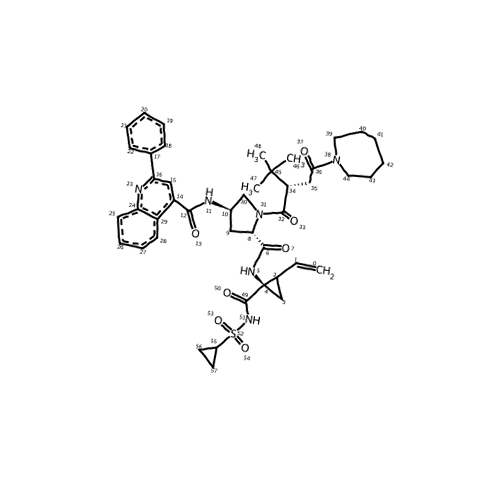 C=CC1C[C@]1(NC(=O)[C@@H]1C[C@@H](NC(=O)c2cc(-c3ccccc3)nc3ccccc23)CN1C(=O)[C@@H](CC(=O)N1CCCCCC1)C(C)(C)C)C(=O)NS(=O)(=O)C1CC1